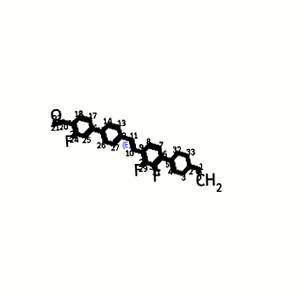 C=CC1CC=C(c2ccc(/C=C/c3ccc(-c4ccc(C5CO5)c(F)c4)cc3)c(F)c2F)CC1